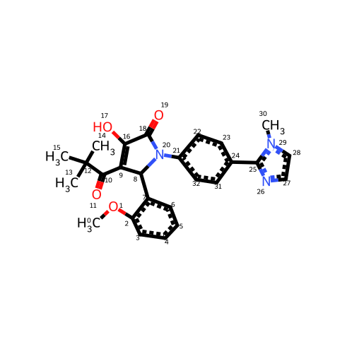 COc1ccccc1C1C(C(=O)C(C)(C)C)=C(O)C(=O)N1c1ccc(-c2nccn2C)cc1